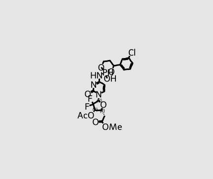 COC(=O)C[C@H]1O[C@@H](n2ccc(N[PH]3(O)OCCC(c4cccc(Cl)c4)O3)nc2=O)C(F)(F)[C@@H]1OC(C)=O